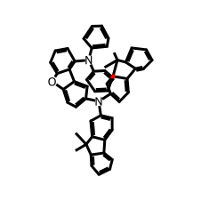 CC1(C)c2ccccc2-c2ccc(N(c3ccc4c(c3)C(C)(C)c3ccccc3-4)c3ccc4oc5cccc(N(c6ccccc6)c6ccccc6)c5c4c3)cc21